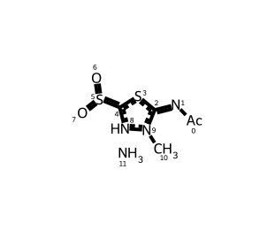 CC(=O)N=c1sc(=S(=O)=O)[nH]n1C.N